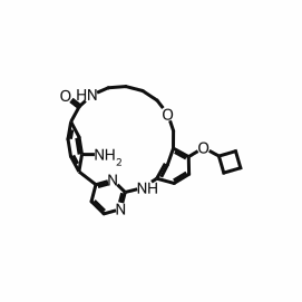 Nc1cc2ccc1-c1ccnc(n1)Nc1ccc(OC3CCC3)c(c1)COCCCCNC2=O